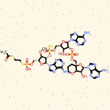 COC1[C@@H](COP(=O)(O)SCCSC(C)=O)O[C@@H](n2cnc3c(N)ncnc32)[C@H]1OP(=O)(S)OC[C@H]1O[C@@H](n2cnc3c(N)ncnc32)[C@@H](OP(=O)(O)OC[C@]23CCCOC2[C@H](O)[C@H](n2cnc4c(N)ncnc42)O3)C1O